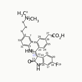 CN(C)CCCc1ccc(N/C(=C2\C(=O)Nc3cc(F)ccc32)c2ccc(CC(=O)O)cc2)cc1